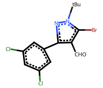 CC(C)(C)n1nc(-c2cc(Cl)cc(Cl)c2)c(C=O)c1Br